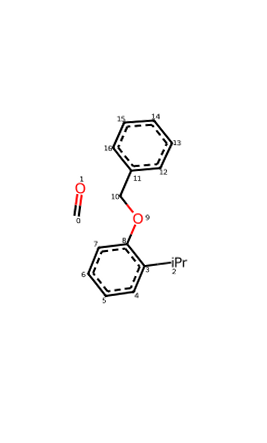 C=O.CC(C)c1ccccc1OCc1ccccc1